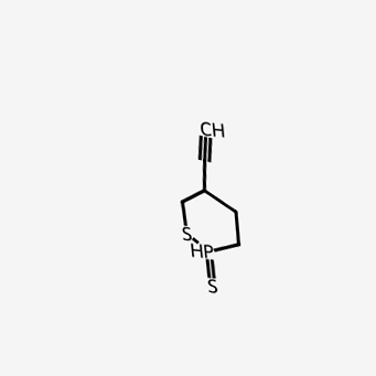 C#CC1CC[PH](=S)SC1